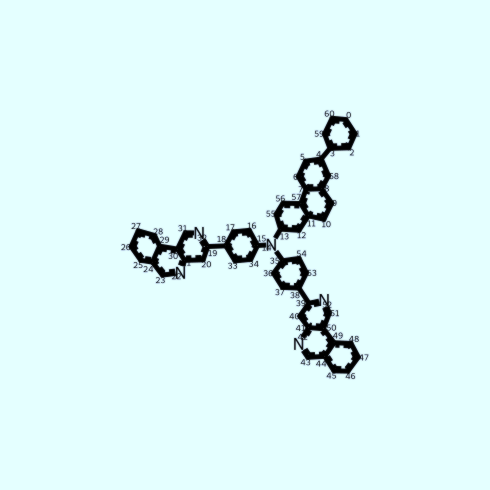 c1ccc(-c2ccc3c(ccc4cc(N(c5ccc(-c6cc7ncc8ccccc8c7cn6)cc5)c5ccc(-c6cc7ncc8ccccc8c7cn6)cc5)ccc43)c2)cc1